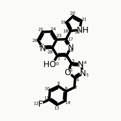 Oc1c(-c2nnc(Cc3ccc(F)cc3)o2)nc(-c2ccc[nH]2)c2cccnc12